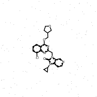 O=c1n(Cc2nc(OCC3CCOC3)c3cccc(Cl)c3n2)c2cnccc2n1C1CC1